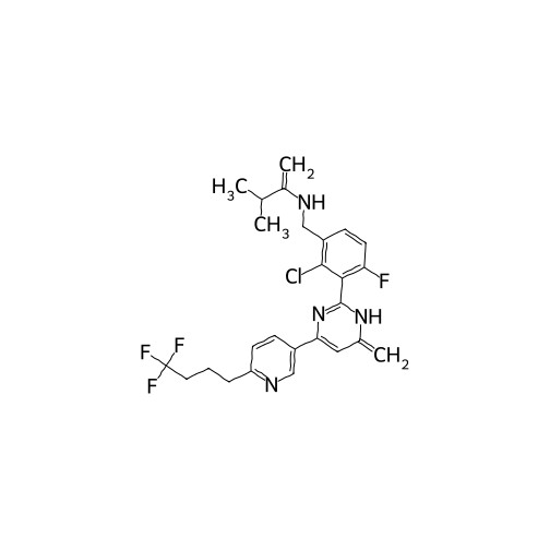 C=C1C=C(c2ccc(CCCC(F)(F)F)nc2)N=C(c2c(F)ccc(CNC(=C)C(C)C)c2Cl)N1